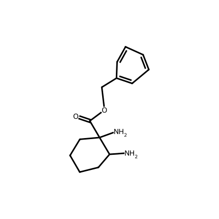 NC1CCCCC1(N)C(=O)OCc1ccccc1